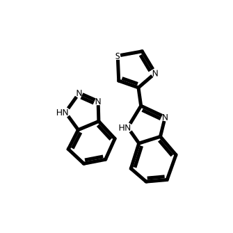 c1ccc2[nH]c(-c3cscn3)nc2c1.c1ccc2[nH]nnc2c1